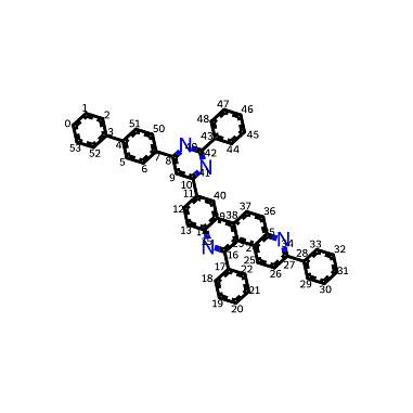 c1ccc(-c2ccc(-c3cc(-c4ccc5nc(-c6ccccc6)c6c7ccc(-c8ccccc8)nc7ccc6c5c4)nc(-c4ccccc4)n3)cc2)cc1